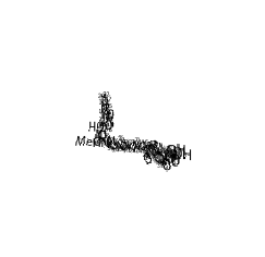 COc1ncc(-c2ccnc(N3CCn4c(cc5c4CC(C)(C)C5)C3=O)c2[C@@H](C)O)cc1Nc1ccc(N2CCN(C3CCN(c4ccc5c(c4)C(=O)N([C@H]4CCC(=O)N(C(C)OP(=O)(O)O)C4=O)C5=O)[C@@H](C)C3)C[C@@H]2C)cn1